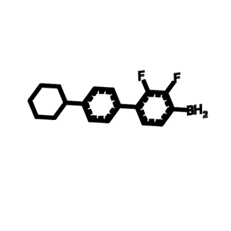 Bc1ccc(-c2ccc(C3CCCCC3)cc2)c(F)c1F